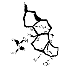 C[C@]12CC[C@H]3[C@@H](CCC4=CC(=O)CC[C@@]43C)[C@@H]1CC[C@@H]2O.O=S(=O)(O)O